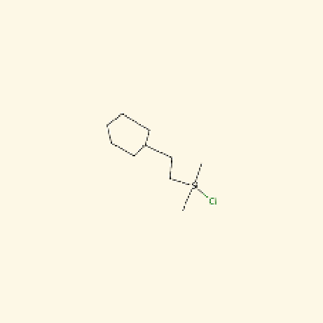 C[Si](C)(Cl)CC[C]1CCCCC1